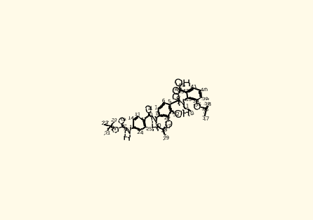 CCN(C(=O)c1ccc(NC(=O)c2ccc(NC(=O)OC(C)(C)C)cc2)c(OC(C)C)c1O)c1c(OC(C)C)cccc1C(=O)O